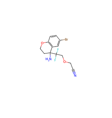 N#CCOCC(F)(F)C1(N)CCOc2ccc(Br)cc21